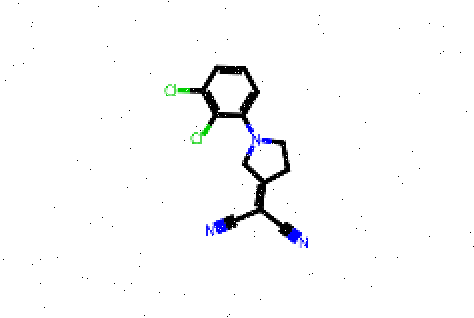 N#CC(C#N)=C1CCN(c2cccc(Cl)c2Cl)C1